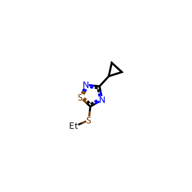 CCSc1nc(C2CC2)ns1